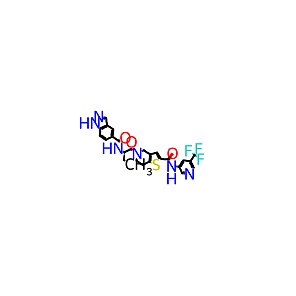 CC[C@@H](NC(=O)c1ccc2[nH]ncc2c1)C(=O)N1CCc2sc(C(=O)Nc3cncc(C(F)(F)F)c3)cc2C1